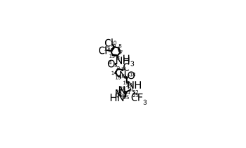 C[C@H]1[C@@H](C(=O)Nc2ccc(Cl)c(Cl)c2)CCN1C(=O)CN[C@H](CC(F)(F)F)c1c[nH]nn1